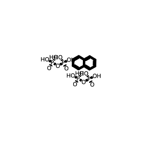 O=P(O)(O)OP(=O)(O)O.O=P(O)(O)OP(=O)(O)O.c1ccc2ccccc2c1